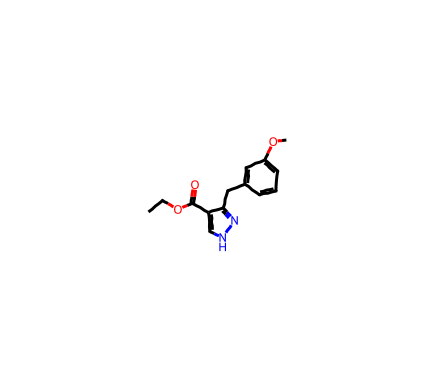 CCOC(=O)c1c[nH]nc1Cc1cccc(OC)c1